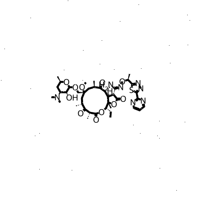 CC[C@@H]1OC(=O)[C@H](C)C(=O)[C@H](C)C[C@](COC2O[C@H](C)C[C@H](N(C)C)[C@H]2O)(OC)C[C@@H](C)C(=O)[C@H](C)[C@H]2[C@H](/C(N)=N/O[C@@H](C)c3nnc(-c4ncccn4)s3)C(=O)O[C@@]21C